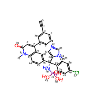 C#Cc1cccc(-c2cc(=O)n(C)c3ccc([C@](N[PH](O)(O)O)(c4ccc(Cl)cc4)c4cncn4C)cc23)c1